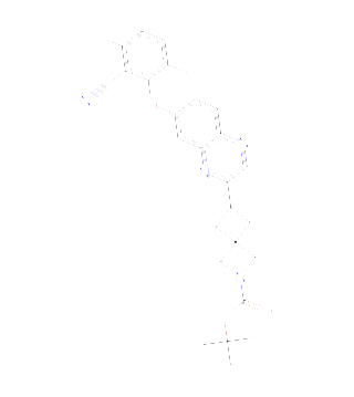 CC(C)(C)OC(=O)N1CC2(CC(c3cnc4ccc(Oc5c(F)ccc(F)c5C#N)cc4n3)C2)C1